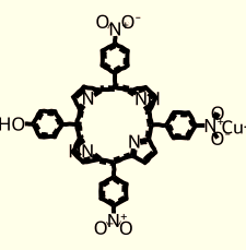 O=[N+]([O-])c1ccc(-c2c3nc(c(-c4ccc([N+](=O)[O-])cc4)c4ccc([nH]4)c(-c4ccc([N+](=O)[O-])cc4)c4nc(c(-c5ccc(O)cc5)c5ccc2[nH]5)C=C4)C=C3)cc1.[Cu]